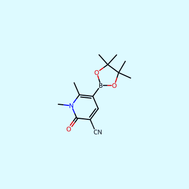 Cc1c(B2OC(C)(C)C(C)(C)O2)cc(C#N)c(=O)n1C